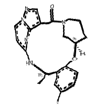 C[C@H]1Nc2ccn3ncc(c3n2)C(=O)N2CC[C@H](C2)Oc2ccc(F)cc21